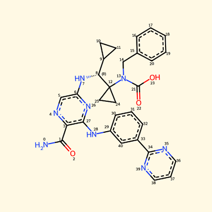 NC(=O)c1ncc(N[C@H](C2CC2)C2(N(Cc3ccccc3)C(=O)O)CC2)nc1Nc1cccc(-c2ncccn2)c1